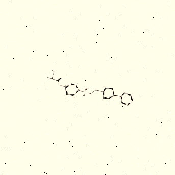 C[C@](N)(CO)C(=O)Nc1ccc(S(=O)(=O)CCc2ccc(-c3ccccc3)cc2)cc1